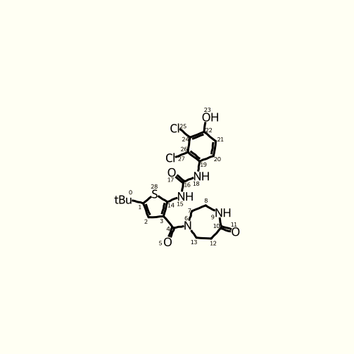 CC(C)(C)c1cc(C(=O)N2CCNC(=O)CC2)c(NC(=O)Nc2ccc(O)c(Cl)c2Cl)s1